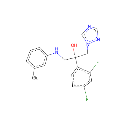 CC(C)(C)c1cccc(NCC(O)(Cn2cncn2)c2ccc(F)cc2F)c1